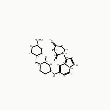 CO[C@H]1CC[C@H](CN2CC[C@@H](Cc3ccn4ncc(N5CCC(=O)NC5=O)c4c3)C[C@@H]2C)CC1